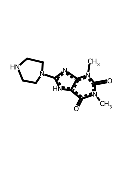 Cn1c(=O)c2[nH]c(N3CCNCC3)nc2n(C)c1=O